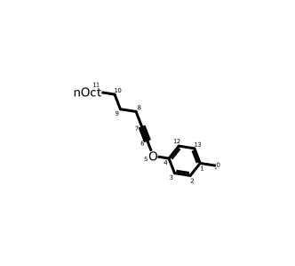 [CH2]c1ccc(OC#CCCCCCCCCCCC)cc1